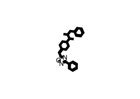 C[C](C(C)Cc1ccccc1)C1CCC(=Cc2nc(-c3ccccc3)no2)CC1